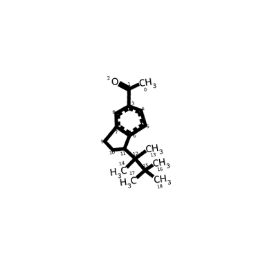 CC(=O)c1ccc2c(c1)CCC2C(C)(C)C(C)(C)C